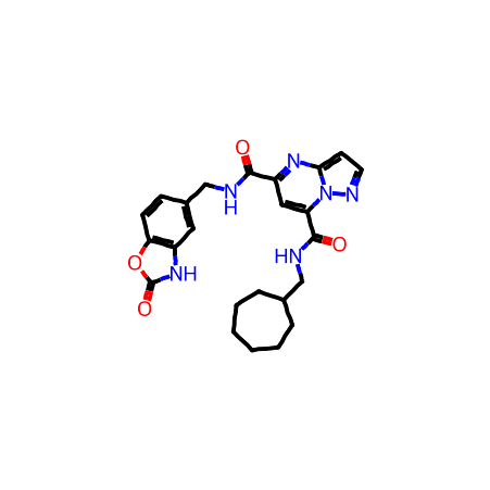 O=C(NCc1ccc2oc(=O)[nH]c2c1)c1cc(C(=O)NCC2CCCCCC2)n2nccc2n1